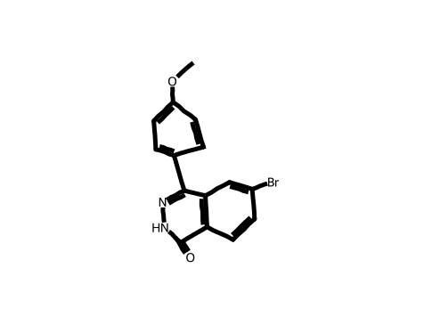 COc1ccc(-c2n[nH]c(=O)c3ccc(Br)cc23)cc1